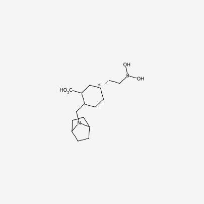 O=C(O)C1C[C@H](CCB(O)O)CCC1CN1C2CCC1CC2